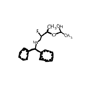 CC(O)OC(C)C(F)CNC(c1ccccc1)c1ccccc1